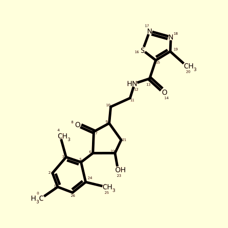 Cc1cc(C)c(C2C(=O)C(CCNC(=O)c3snnc3C)CC2O)c(C)c1